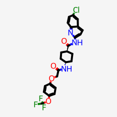 O=C(COc1ccc(OC(F)(F)F)cc1)N[C@H]1CC[C@H](C(=O)Nc2ccc3cc(Cl)ccc3n2)CC1